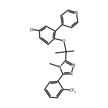 Cn1c(-c2ccccc2C(F)(F)F)nnc1C(C)(C)Oc1ccc(Cl)cc1-c1ccncc1